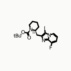 CC(C)(C)OC(=O)N1CCCC[C@H]1Cc1nc2c(F)cccn2c1I